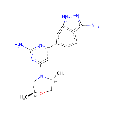 C[C@@H]1CO[C@@H](C)CN1c1cc(-c2ccc3c(N)n[nH]c3c2)nc(N)n1